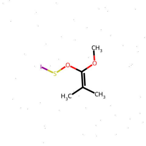 COC(OSI)=C(C)C